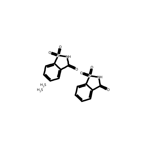 O=C1NS(=O)(=O)c2ccccc21.O=C1NS(=O)(=O)c2ccccc21.S.S